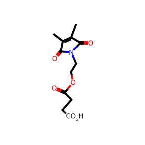 CC1=C(C)C(=O)N(CCOC(=O)CCC(=O)O)C1=O